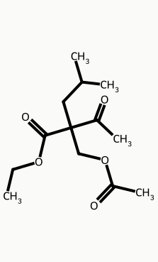 CCOC(=O)C(COC(C)=O)(CC(C)C)C(C)=O